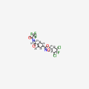 CC1(c2cc(Cl)c(F)c(Cl)c2)ON=C(c2ccc3c(c2)COC32CN(C(=O)C(F)(F)F)C2)O1